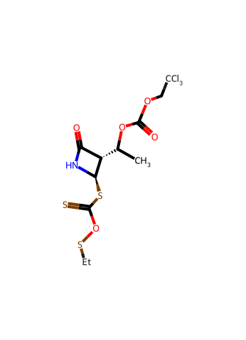 CCSOC(=S)S[C@H]1NC(=O)[C@@H]1C(C)OC(=O)OCC(Cl)(Cl)Cl